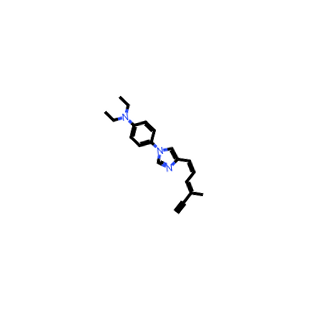 C#C/C(C)=C/C=C\c1cn(-c2ccc(N(CC)CC)cc2)cn1